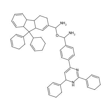 NC(OC(N)c1ccc(C2=CC(C3=CC=CCC3)NC(C3=CCCC=C3)=N2)cc1)C1=CC2C(CC1)C1C=CC=CC1C2(C1=CC=CCC1)C1C=CCCC1